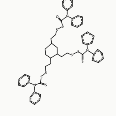 O=C(SSCCC1CCC(CCSSC(=S)N(c2ccccc2)c2ccccc2)C(CCSSC(=S)N(c2ccccc2)c2ccccc2)C1)N(c1ccccc1)c1ccccc1